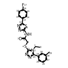 CCn1c(SCC(=O)Nc2nnc(-c3ccc(F)cc3)s2)nnc1-c1cccc(C)c1